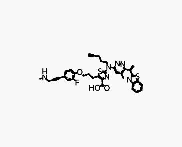 C#CCCCN(c1cc(C)c(C(=C)c2nc3ccccc3s2)nn1)c1nc(C(=O)O)c(CCCOc2ccc(C#CCNC)cc2F)s1